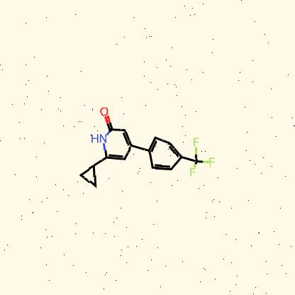 O=c1cc(-c2ccc(C(F)(F)F)cc2)cc(C2CC2)[nH]1